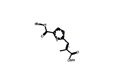 COC(=O)/C(C)=C/c1ccc(C(=O)OC(C)(C)C)s1